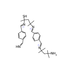 CC(C)(N)CC(C)(C)/N=C/c1ccc(/C=N/C(C)(C)CC(C)(S)/N=C/c2ccc(C=N)cc2)cc1